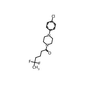 CC(F)(F)CCCC(=O)N1CCN(c2ccc(Cl)cc2)CC1